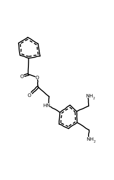 NCc1ccc(NCC(=O)OC(=O)c2ccccc2)cc1CN